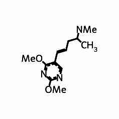 CNC(C)CC=Cc1cnc(OC)nc1OC